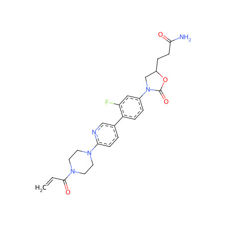 C=CC(=O)N1CCN(c2ccc(-c3ccc(N4CC(CCC(N)=O)OC4=O)cc3F)cn2)CC1